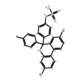 Cc1ccc(C2(c3ccc(OS(=O)(=O)C(F)(F)F)cc3)Oc3cc(Br)ccc3-c3ccc(Br)cc32)cc1